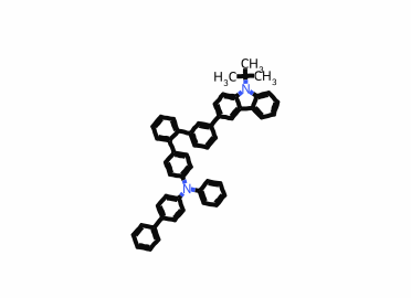 CC(C)(C)n1c2ccccc2c2cc(-c3cccc(-c4ccccc4-c4ccc(N(c5ccccc5)c5ccc(-c6ccccc6)cc5)cc4)c3)ccc21